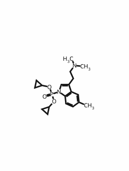 Cc1ccc2c(c1)c(CCN(C)C)cn2P(=O)(OC1CC1)OC1CC1